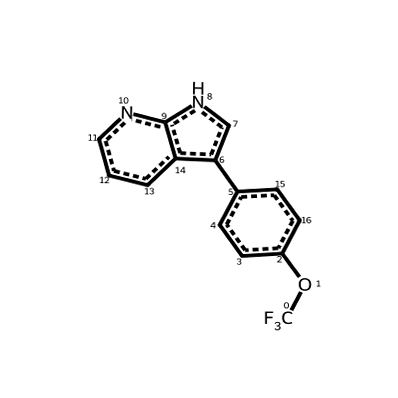 FC(F)(F)Oc1ccc(-c2c[nH]c3ncccc23)cc1